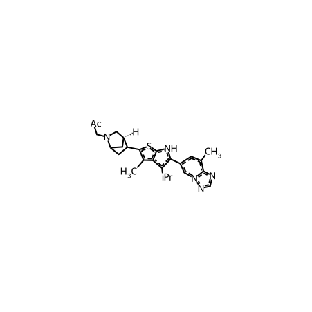 CC(=O)CN1C[C@@H]2CC1CC2c1sc2[nH]c(-c3cc(C)c4ncnn4c3)c(C(C)C)c2c1C